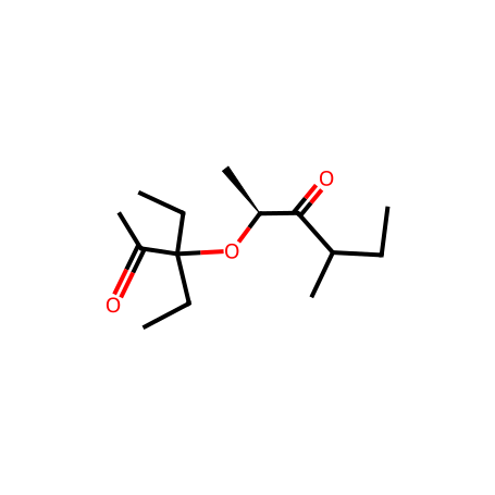 CCC(C)C(=O)[C@H](C)OC(CC)(CC)C(C)=O